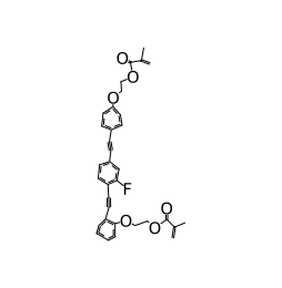 C=C(C)C(=O)OCCOc1ccc(C#Cc2ccc(C#Cc3ccccc3OCCOC(=O)C(=C)C)c(F)c2)cc1